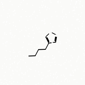 [CH2]CCCc1cn[nH]c1